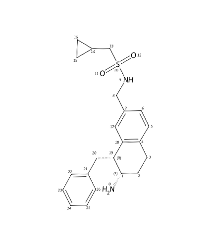 N[C@H]1CCc2ccc(CNS(=O)(=O)CC3CC3)cc2[C@H]1Cc1ccccc1